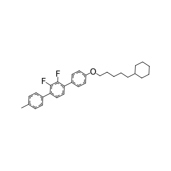 Cc1ccc(-c2ccc(-c3ccc(OCCCCCC4CCCCC4)cc3)c(F)c2F)cc1